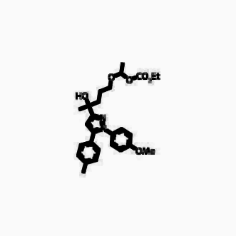 CCOC(=O)OC(C)OCCCC(C)(O)c1cc(-c2ccc(C)cc2)n(-c2ccc(OC)cc2)n1